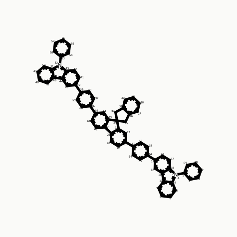 c1ccc(-n2c3ccccc3c3cc(-c4ccc(-c5ccc6c(c5)C5(Cc7ccccc7C5)c5cc(-c7ccc(-c8ccc9c(c8)c8ccccc8n9-c8ccccc8)cc7)ccc5-6)cc4)ccc32)cc1